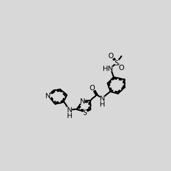 CS(=O)(=O)Nc1cccc(NC(=O)c2csc(Nc3cccnc3)n2)c1